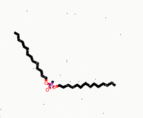 CCCCCCCCCCCCCCOP(C)(=O)OCCCCCCCCCCCCCC